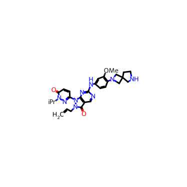 C=CCn1c(=O)c2cnc(Nc3ccc(N4CC5(CCNC5)C4)c(OC)c3)nc2n1-c1ccc(=O)n(C(C)C)n1